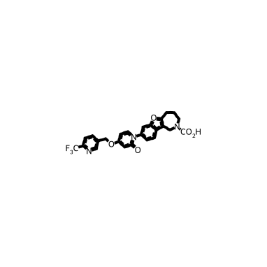 O=C(O)N1CCCc2oc3cc(-n4ccc(OCc5ccc(C(F)(F)F)nc5)cc4=O)ccc3c2C1